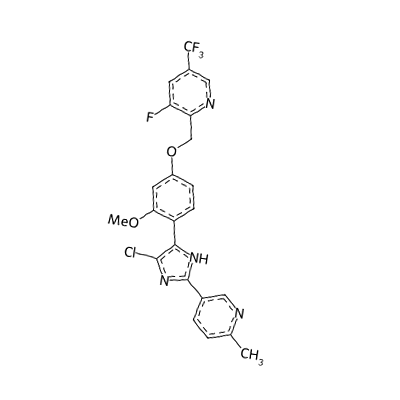 COc1cc(OCc2ncc(C(F)(F)F)cc2F)ccc1-c1[nH]c(-c2ccc(C)nc2)nc1Cl